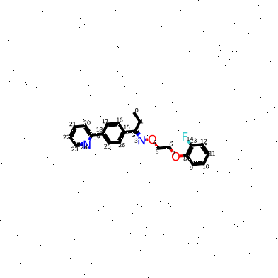 CC/C(=N\OCCOc1ccc[c]c1F)c1ccc(-c2ccccn2)cc1